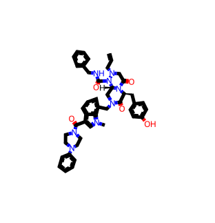 C=CCN1CC(=O)N2[C@@H](Cc3ccc(O)cc3)C(=O)N(Cc3cccc4c(C(=O)N5CCN(c6ccccc6)CC5)cn(C)c34)C[C@@H]2N1C(=O)NCc1ccccc1